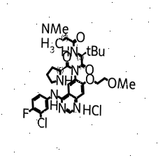 CN[C@@H](C)C(=O)N[C@H](C(=O)N(C(=O)[C@@H]1CCCN1)c1cc2c(Nc3ccc(F)c(Cl)c3)ncnc2cc1OCCOC)C(C)(C)C.Cl